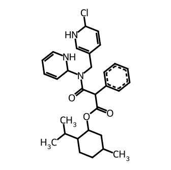 CC1CCC(C(C)C)C(OC(=O)C(C(=O)N(CC2=CNC(Cl)C=C2)C2C=CC=CN2)c2ccccc2)C1